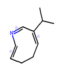 CC(C)C1=C/CC/C=C/N=C\1